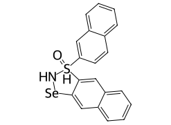 O=[SH]1(c2ccc3ccccc3c2)N[Se]c2cc3ccccc3cc21